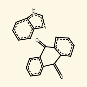 O=C1c2ccccc2C(=O)c2ccccc21.c1ccc2[nH]cnc2c1